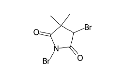 CC1(C)C(=O)N(Br)C(=O)C1Br